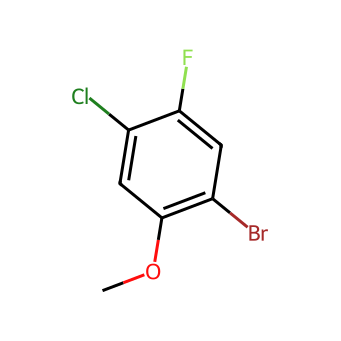 COc1cc(Cl)c(F)cc1Br